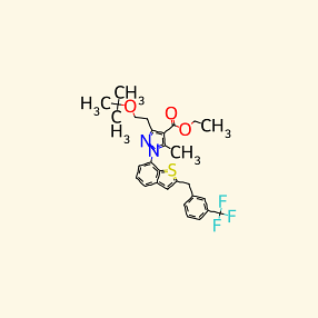 CCOC(=O)c1c(CCOC(C)(C)C)nn(-c2cccc3cc(Cc4cccc(C(F)(F)F)c4)sc23)c1C